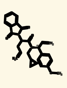 C=CCC(C(=O)N(CC1CC1)[C@@H](C=C)c1ccc(OC)cc1)N1C(=O)c2ccccc2C1=O